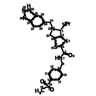 CC(C)[C@H]1c2nc(C(=O)NCc3ccc(S(C)(=O)=O)cc3)sc2CN1Cc1ccc2nn[nH]c2c1